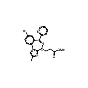 COC(=O)CC[C@@H]1N=C(c2ccccn2)c2cc(Br)ccc2-n2cc(C)nc21